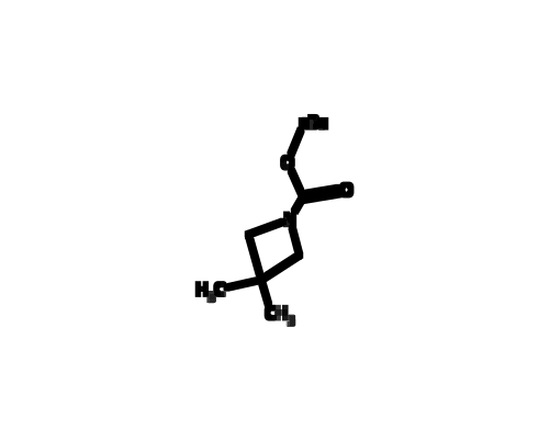 CCCCOC(=O)N1CC(C)(C)C1